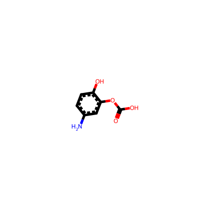 Nc1ccc(O)c(OC(=O)O)c1